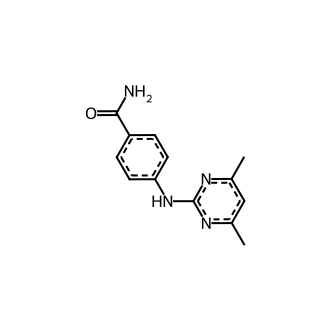 Cc1cc(C)nc(Nc2ccc(C(N)=O)cc2)n1